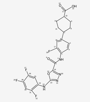 O=C(Nc1ccc(C2CCC(C(=O)O)CC2)cc1F)c1nnc(Nc2cc(F)c(F)cc2F)o1